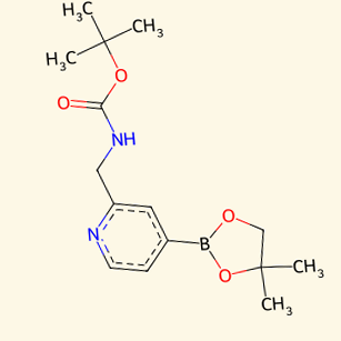 CC(C)(C)OC(=O)NCc1cc(B2OCC(C)(C)O2)ccn1